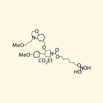 CCOC(=O)C1CC(c2ccc(OC)cc2)C(OCc2ccc3c(c2)N(CCCOC)CCO3)CN1C(=O)OCCCCCCON(O)O